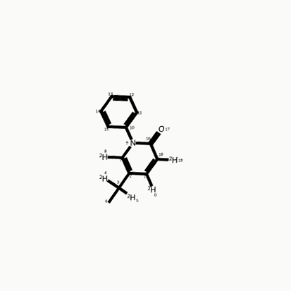 [2H]c1c(C([2H])([2H])C)c([2H])n(-c2ccccc2)c(=O)c1[2H]